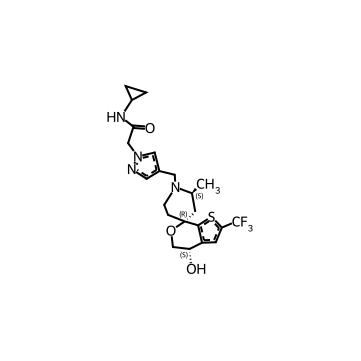 C[C@H]1C[C@@]2(CCN1Cc1cnn(CC(=O)NC3CC3)c1)OC[C@@H](O)c1cc(C(F)(F)F)sc12